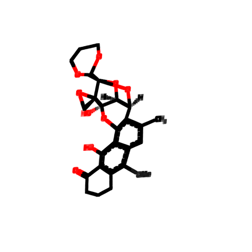 COc1c2c(c(O)c3c4c(c(C)cc13)[C@@H]1O[C@@]3(C5OCCCO5)O[C@@H]1[C@@](O)(O4)[C@@]31CO1)C(=O)CCC2